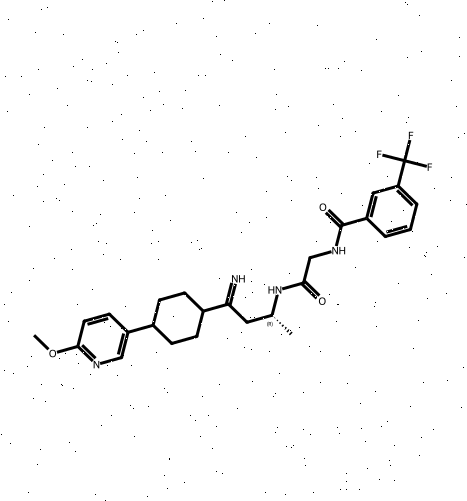 COc1ccc(C2CCC(C(=N)C[C@@H](C)NC(=O)CNC(=O)c3cccc(C(F)(F)F)c3)CC2)cn1